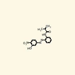 C=C(C)C(=O)Nc1ccccc1N=Nc1ccc([N+](=O)[O-])c(O)c1